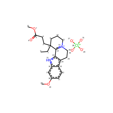 CCC1(CCC(=O)OC)CCC[N+]2=C1c1[nH]c3cc(OC)ccc3c1CC2.[O-][Cl+3]([O-])([O-])[O-]